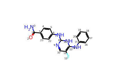 NC(=O)c1ccc(NC2N=CC(F)=C(Nc3ccccc3)N2)cc1